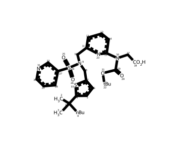 CCCCC(C)(C)c1ccc(CN(Cc2cccc(N(CC(=O)O)C(=O)OC(C)(C)C)n2)S(=O)(=O)c2cccnc2)s1